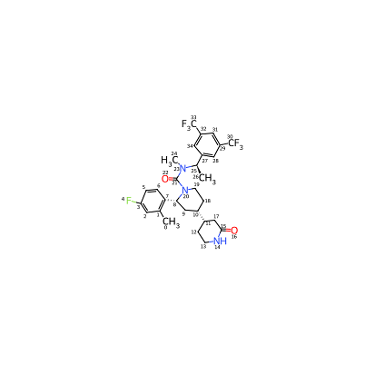 Cc1cc(F)ccc1[C@H]1C[C@@H](C2CCNC(=O)C2)CCN1C(=O)N(C)[C@H](C)c1cc(C(F)(F)F)cc(C(F)(F)F)c1